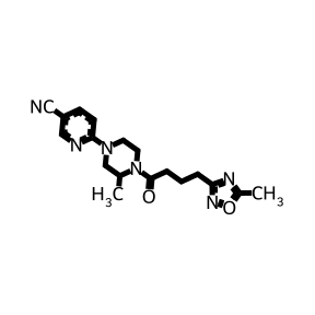 Cc1nc(CCCC(=O)N2CCN(c3ccc(C#N)cn3)CC2C)no1